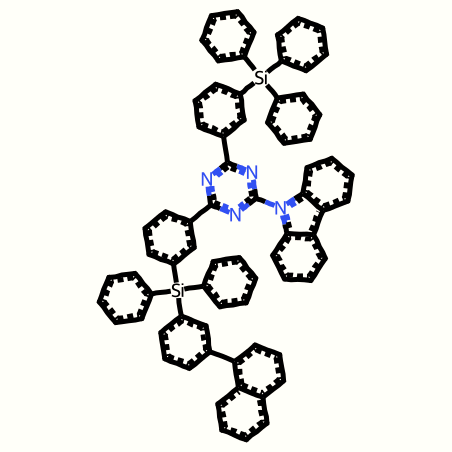 c1ccc([Si](c2ccccc2)(c2ccccc2)c2cccc(-c3nc(-c4cccc([Si](c5ccccc5)(c5ccccc5)c5cccc(-c6cccc7ccccc67)c5)c4)nc(-n4c5ccccc5c5ccccc54)n3)c2)cc1